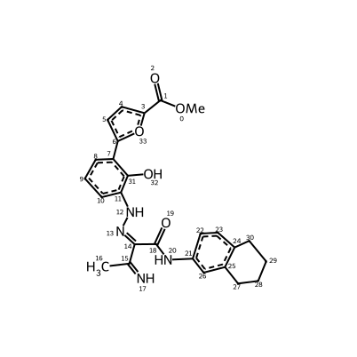 COC(=O)c1ccc(-c2cccc(N/N=C(/C(C)=N)C(=O)Nc3ccc4c(c3)CCCC4)c2O)o1